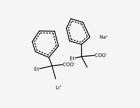 CCC(C)(C(=O)[O-])c1ccccc1.CCC(C)(C(=O)[O-])c1ccccc1.[Li+].[Na+]